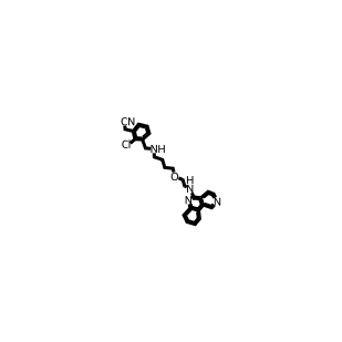 N#CCc1cccc(CNCCCCOCCNc2nc3ccccc3c3cnccc23)c1Cl